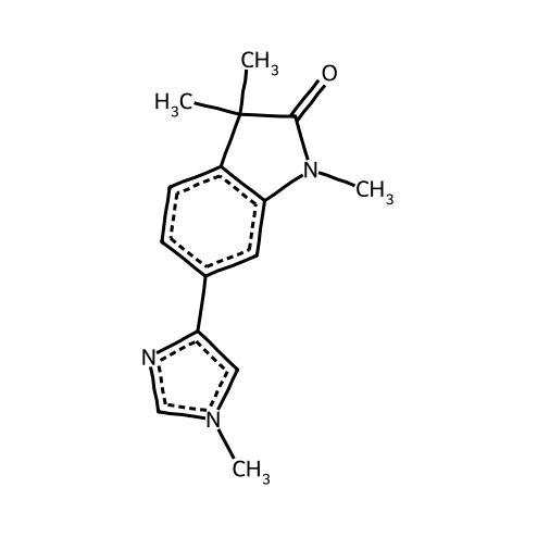 CN1C(=O)C(C)(C)c2ccc(-c3cn(C)cn3)cc21